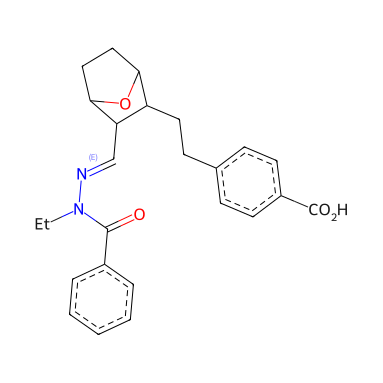 CCN(/N=C/C1C2CCC(O2)C1CCc1ccc(C(=O)O)cc1)C(=O)c1ccccc1